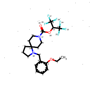 CCOc1ccccc1CN1CCCC12CCN(C(=O)OC(C(F)(F)F)C(F)(F)F)CC2